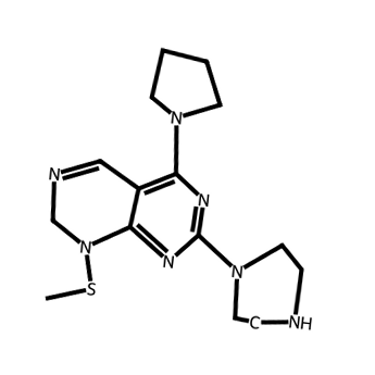 CSN1CN=Cc2c(N3CCCC3)nc(N3CCNCC3)nc21